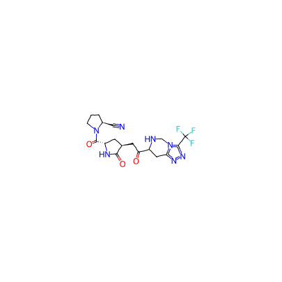 N#C[C@@H]1CCCN1C(=O)[C@@H]1C[C@@H](CC(=O)C2Cc3nnc(C(F)(F)F)n3CN2)C(=O)N1